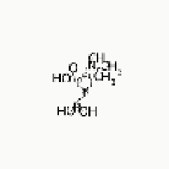 CC(C)N(C)C[C@@H]1CC[C@@H](CCB(O)O)C[C@@H]1C(=O)O